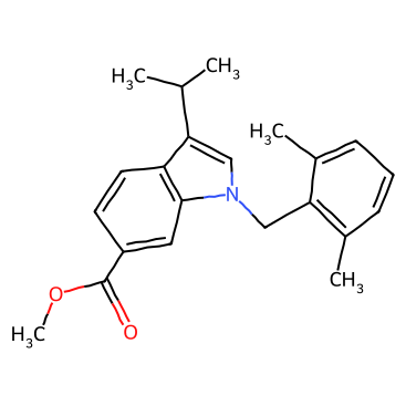 COC(=O)c1ccc2c(C(C)C)cn(Cc3c(C)cccc3C)c2c1